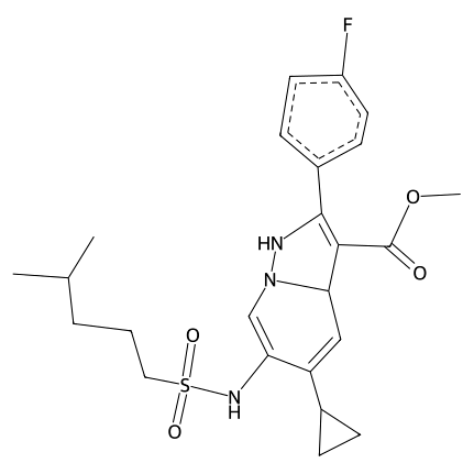 COC(=O)C1=C(c2ccc(F)cc2)NN2C=C(NS(=O)(=O)CCCC(C)C)C(C3CC3)=CC12